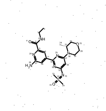 CCNC(=O)c1cc(-c2nc(N=S(C)(C)=O)cc(N3CCOC[C@H]3C)n2)cc(N)n1